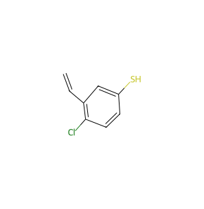 C=Cc1cc(S)ccc1Cl